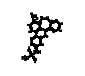 CS(=O)(=O)Nc1cccc(CC2c3ccccc3CCc3c(N)cccc32)c1